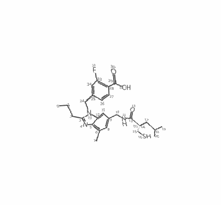 CCCc1nc2c(C)cc(CNC(=O)[C@@H](CS)CC(C)C)cc2n1Cc1ccc(C(=O)O)c(F)c1